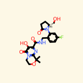 CC1(C)OCCn2c1nc(C(=O)NCc1ccc(F)cc1N1C(=O)CC[C@@H]1CO)c(O)c2=O